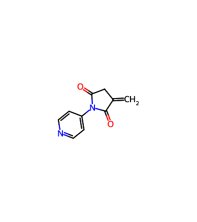 C=C1CC(=O)N(c2ccncc2)C1=O